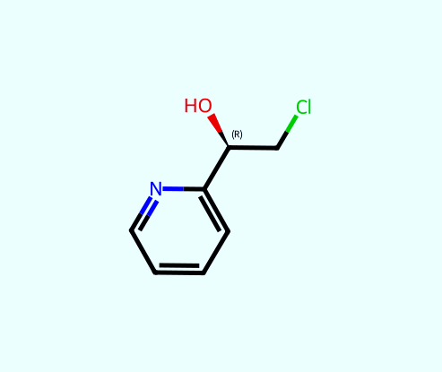 O[C@@H](CCl)c1ccccn1